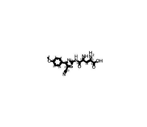 COc1ccc(-c2nc(NC(=O)C(=N)/C=C(\N)C(=O)O)sc2C#N)cc1